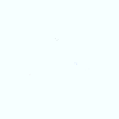 CC(C)n1cc(C#N)c2cc(Br)ccc21